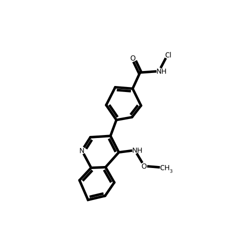 CONc1c(-c2ccc(C(=O)NCl)cc2)cnc2ccccc12